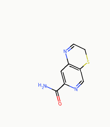 NC(=O)c1cc2c(cn1)SCC=N2